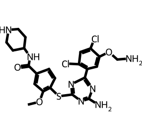 COc1cc(C(=O)NC2CCNCC2)ccc1Sc1nc(N)nc(-c2cc(OCN)c(Cl)cc2Cl)n1